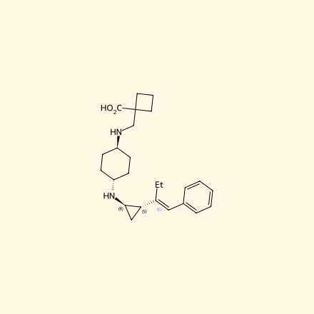 CC/C(=C\c1ccccc1)[C@@H]1C[C@H]1N[C@H]1CC[C@H](NCC2(C(=O)O)CCC2)CC1